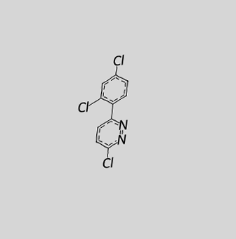 Clc1ccc(-c2ccc(Cl)nn2)c(Cl)c1